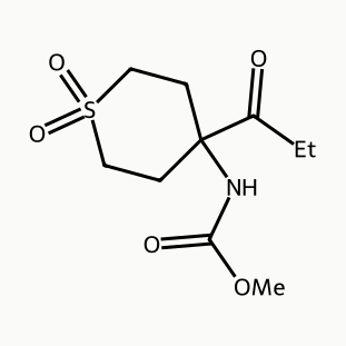 CCC(=O)C1(NC(=O)OC)CCS(=O)(=O)CC1